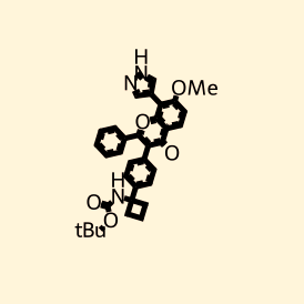 COc1ccc2c(=O)c(-c3ccc(C4(NC(=O)OC(C)(C)C)CCC4)cc3)c(-c3ccccc3)oc2c1-c1cn[nH]c1